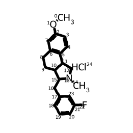 COc1ccc2c(c1)CCC1C2CN(C)C1Cc1cccc(F)c1.Cl